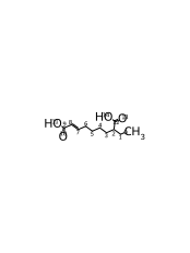 CCC(CCCCC=CC(=O)O)C(=O)O